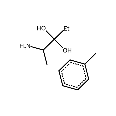 CCC(O)(O)C(C)N.Cc1ccccc1